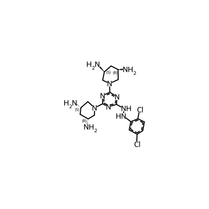 N[C@@H]1C[C@H](N)CN(c2nc(NNc3cc(Cl)ccc3Cl)nc(N3C[C@H](N)C[C@H](N)C3)n2)C1